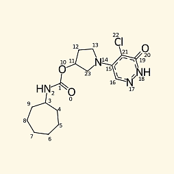 O=C(NC1CCCCCC1)OC1CCN(c2cn[nH]c(=O)c2Cl)C1